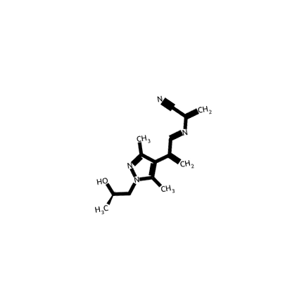 C=C(C#N)/N=C/C(=C)c1c(C)nn(C[C@@H](C)O)c1C